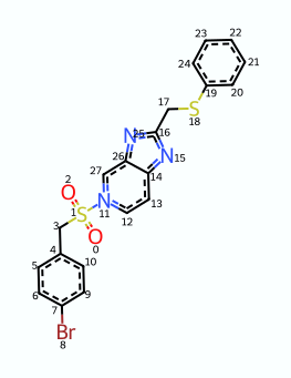 O=S(=O)(Cc1ccc(Br)cc1)n1ccc2nc(CSc3ccccc3)nc-2c1